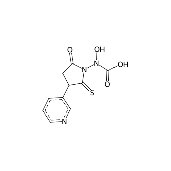 O=C(O)N(O)N1C(=O)CC(c2cccnc2)C1=S